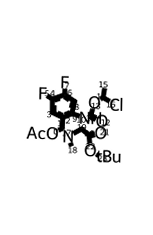 CC(=O)OC(c1cc(F)c(F)cc1NC(=O)OC(C)Cl)N(C)CC(=O)OC(C)(C)C